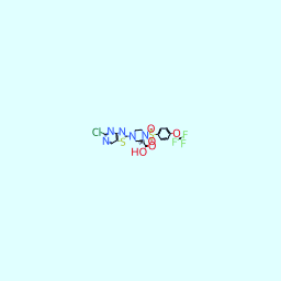 O=C(O)[C@H]1CN(c2nc3nc(Cl)ncc3s2)CCN1S(=O)(=O)c1ccc(OC(F)(F)F)cc1